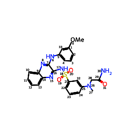 COc1cccc(Nc2nc3ccccc3nc2NS(=O)(=O)c2cccc(N(C)CC(N)=O)c2)c1